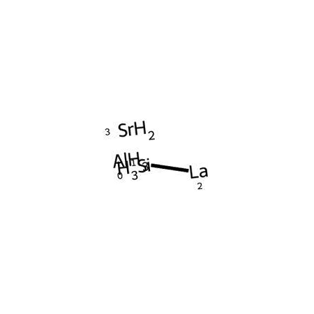 [AlH3].[SiH3][La].[SrH2]